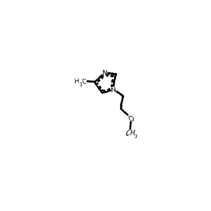 COCCn1cnc(C)c1